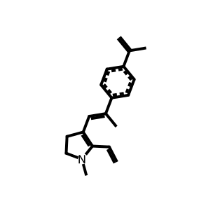 C=CC1=C(/C=C(\C)c2ccc(C(=C)C)cc2)CCN1C